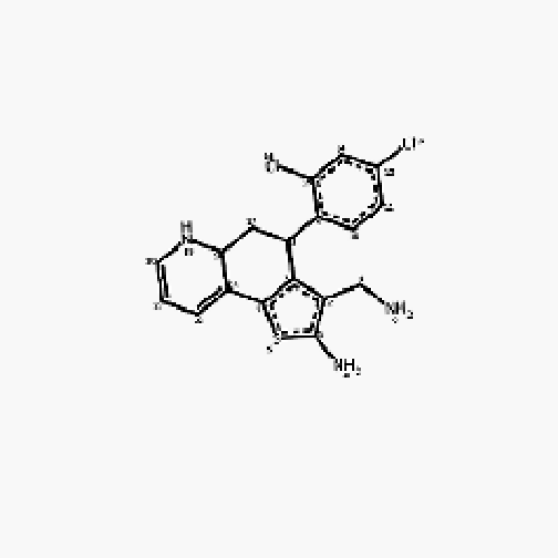 NCc1c(N)sc2c1C(c1ccc(Cl)cc1Cl)CC1NC=CC=C21